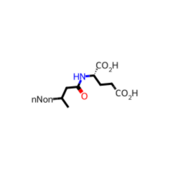 CCCCCCCCCC(C)CC(=O)N[C@@H](CCC(=O)O)C(=O)O